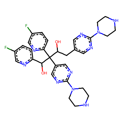 OC(Cc1cnc(N2CCNCC2)nc1)C(c1cnc(N2CCNCC2)nc1)(c1ccc(F)cn1)C(O)c1ccc(F)cn1